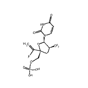 C=C(F)[C@@]1(COP(=O)(O)O)C[C@H](C)[C@H](n2ccc(=O)[nH]c2=O)O1